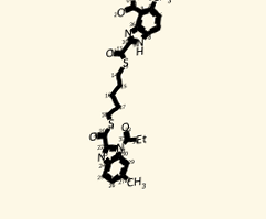 CCC(=O)c1c(C)ccc2[nH]c(C(=O)SCCCCCSC(=O)c3nc4ccc(C)cc4n3C(=O)CC)nc12